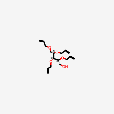 C=CCOC[C@H](OCC=C)[C@@H](OCC=C)[C@@H](CO)OCC=C